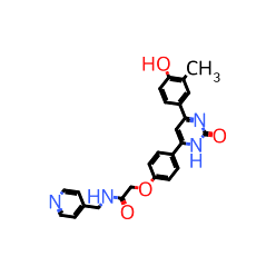 Cc1cc(-c2cc(-c3ccc(OCC(=O)NCc4ccncc4)cc3)[nH]c(=O)n2)ccc1O